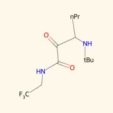 CCCC(NC(C)(C)C)C(=O)C(=O)NCC(F)(F)F